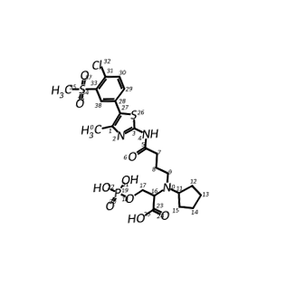 Cc1nc(NC(=O)CCCN(C2CCCC2)C(COP(=O)(O)O)C(=O)O)sc1-c1ccc(Cl)c(S(C)(=O)=O)c1